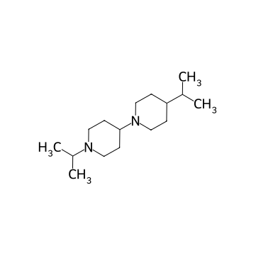 CC(C)C1CCN(C2CCN(C(C)C)CC2)CC1